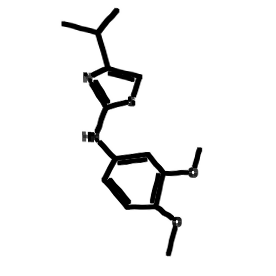 COc1ccc(Nc2nc(C(C)C)cs2)cc1OC